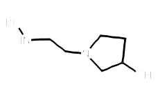 CC1CCN(CCNC(C)(C)C)C1